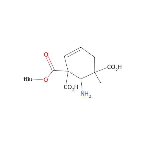 CC(C)(C)OC(=O)C1(C(=O)O)C=CCC(C)(C(=O)O)C1N